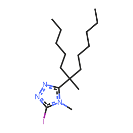 CCCCCCC(C)(CCCCC)c1nnc(I)n1C